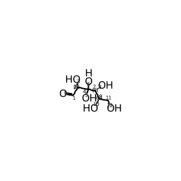 O=C[C@@H](O)C(O)(O)[C@H](O)[C@H](O)CO